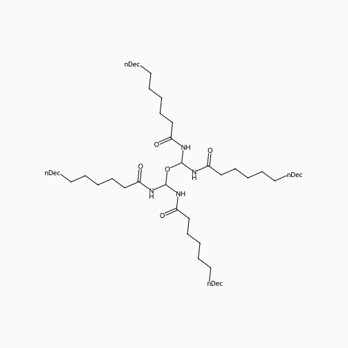 CCCCCCCCCCCCCCCC(=O)NC(NC(=O)CCCCCCCCCCCCCCC)OC(NC(=O)CCCCCCCCCCCCCCC)NC(=O)CCCCCCCCCCCCCCC